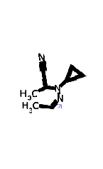 C/C=N\N(C(C)C#N)C1CC1